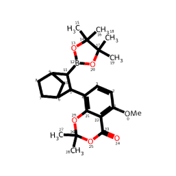 COc1ccc(C2C3CCC(C3)C2B2OC(C)(C)C(C)(C)O2)c2c1C(=O)OC(C)(C)O2